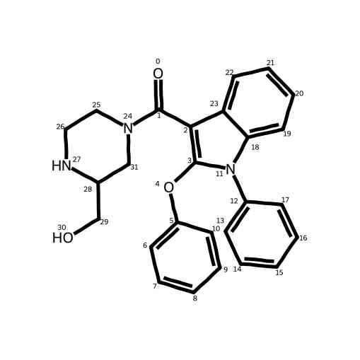 O=C(c1c(Oc2ccccc2)n(-c2ccccc2)c2ccccc12)N1CCNC(CO)C1